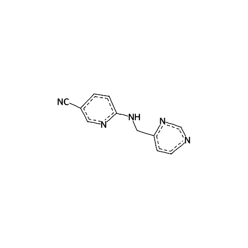 N#Cc1ccc(NCc2ccncn2)nc1